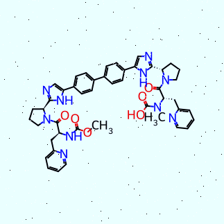 COC(=O)N[C@@H](Cc1ccccn1)C(=O)N1CCC[C@H]1c1ncc(-c2ccc(-c3ccc(-c4cnc([C@@H]5CCCN5C(=O)[C@H](Cc5ccccn5)N(C)C(=O)O)[nH]4)cc3)cc2)[nH]1